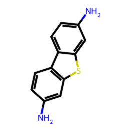 Nc1ccc2c(c1)sc1cc(N)ccc12